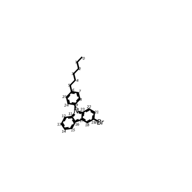 CCCCCCc1ccc(-n2c3ccccc3c3cc(Br)ccc32)cc1